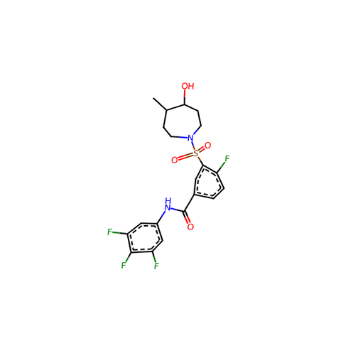 CC1CCN(S(=O)(=O)c2cc(C(=O)Nc3cc(F)c(F)c(F)c3)ccc2F)CCC1O